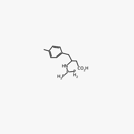 Cc1ccc(CC(CC(=O)O)NP(P)P)cc1